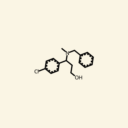 CN(Cc1ccccc1)C(CCO)c1ccc(Cl)cc1